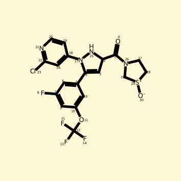 O=C(C1C=C(c2cc(F)cc(OC(F)(F)F)c2)N(c2ccnc(Cl)c2)N1)N1CC[S+]([O-])C1